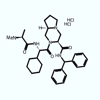 CN[C@@H](C)C(=O)N[C@H](C(=O)N1C[C@H]2CCCN2C[C@H]1C(=O)NC(c1ccccc1)c1ccccc1)C1CCCCC1.Cl.Cl